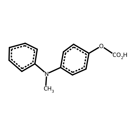 CN(c1ccccc1)c1ccc(OC(=O)O)cc1